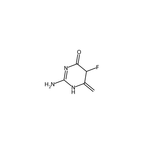 C=C1NC(N)=NC(=O)C1F